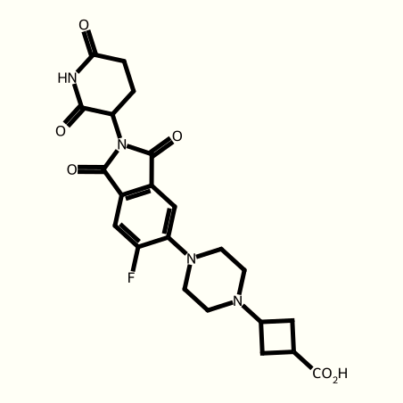 O=C1CCC(N2C(=O)c3cc(F)c(N4CCN(C5CC(C(=O)O)C5)CC4)cc3C2=O)C(=O)N1